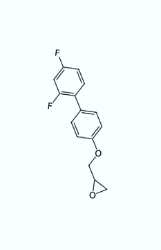 Fc1ccc(-c2ccc(OCC3CO3)cc2)c(F)c1